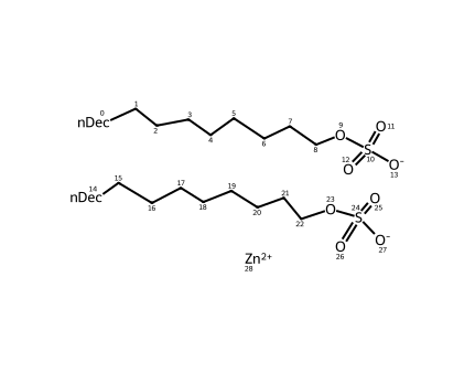 CCCCCCCCCCCCCCCCCCOS(=O)(=O)[O-].CCCCCCCCCCCCCCCCCCOS(=O)(=O)[O-].[Zn+2]